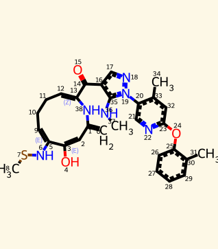 C=C1/C=C(O)\C(NSC)=C/CC/C=C(/C(=O)c2cnn(-c3cnc(Oc4ccccc4C)cc3C)c2NC)N1